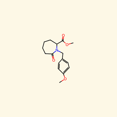 COC(=O)C1CCCCC(=O)N1Cc1ccc(OC)cc1